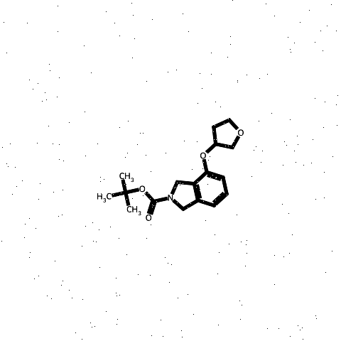 CC(C)(C)OC(=O)N1Cc2cccc(OC3CCOC3)c2C1